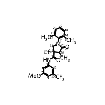 CC[C@@]1(C(=O)Nc2cc(OC)cc(C(F)(F)F)c2)CN(c2c(C)cccc2C)C(=O)C1C